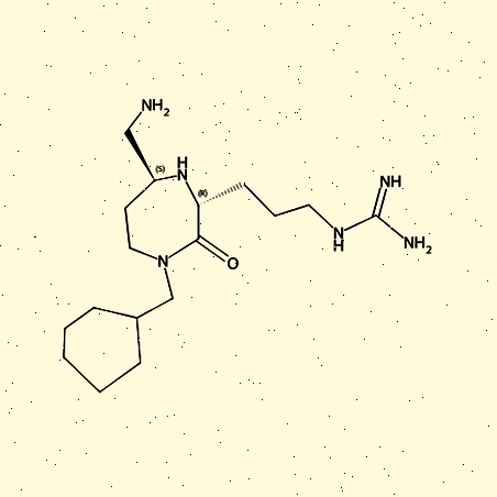 N=C(N)NCCC[C@H]1N[C@H](CN)CCN(CC2CCCCC2)C1=O